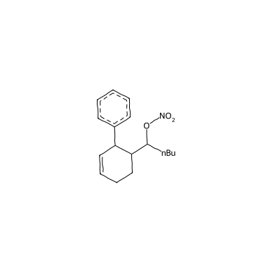 CCCCC(O[N+](=O)[O-])C1CCC=CC1c1ccccc1